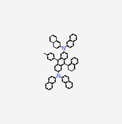 Cc1ccc(-c2c3ccc(N(c4ccc5ccccc5c4)c4ccc5ccccc5c4)cc3c(C3=c4ccccc4=CCC3)c3ccc(N(C4=CCC5C=CC=CC5=C4)c4ccc5ccccc5c4)cc23)cc1